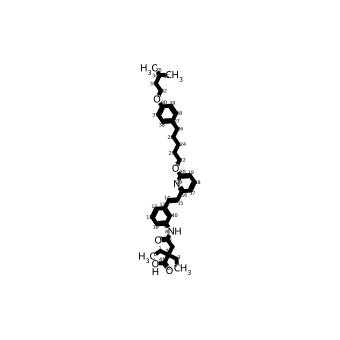 CCC(CC)(CC(=O)Nc1cccc(C=Cc2cccc(OCCCCCc3ccc(OCCC(C)C)cc3)n2)c1)C(=O)O